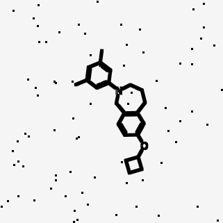 Cc1cc(C)cc(N2CCCc3cc(OC4CCC4)ccc3C2)c1